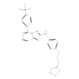 FC(F)(F)c1ccc(-c2nccc3nc(Nc4ccc(OCCN5CCCC5)cc4)nn23)cc1